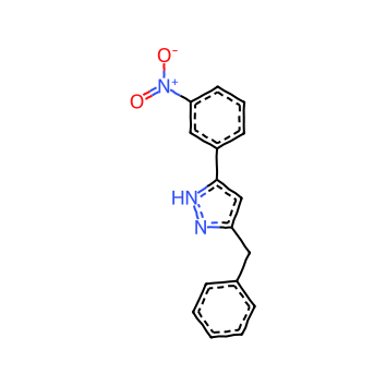 O=[N+]([O-])c1cccc(-c2cc(Cc3ccccc3)n[nH]2)c1